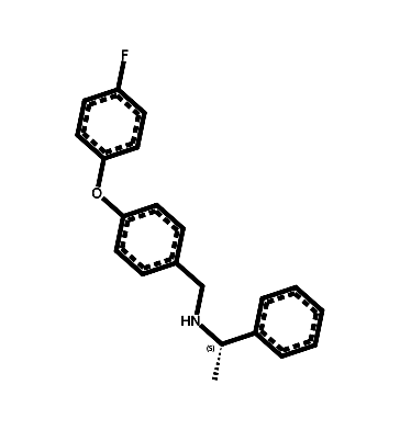 C[C@H](NCc1ccc(Oc2ccc(F)cc2)cc1)c1ccccc1